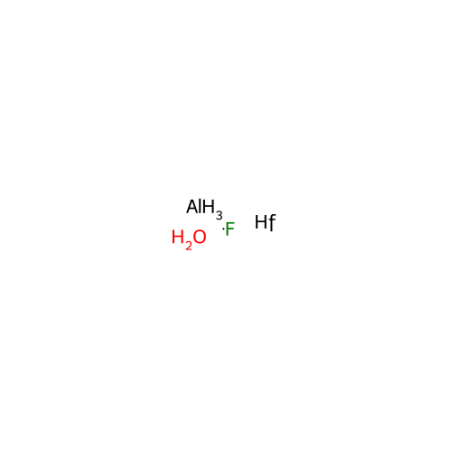 O.[AlH3].[F].[Hf]